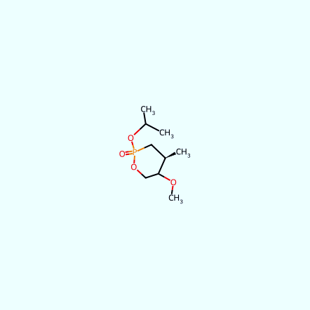 COC1COP(=O)(OC(C)C)C[C@H]1C